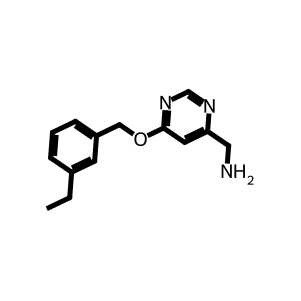 CCc1cccc(COc2cc(CN)ncn2)c1